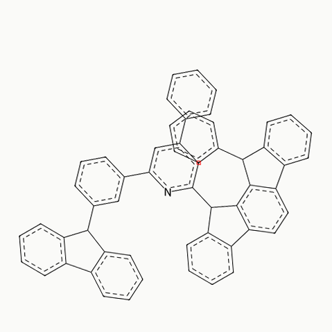 c1ccc(-c2cc(-c3cccc(C4c5ccccc5-c5ccccc54)c3)nc(C3c4ccccc4-c4ccc5c(c43)C(c3ccccc3)c3ccccc3-5)c2)cc1